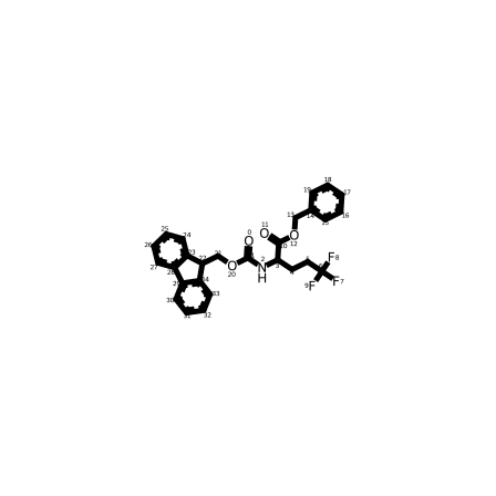 O=C(NC(CCC(F)(F)F)C(=O)OCc1ccccc1)OCC1c2ccccc2-c2ccccc21